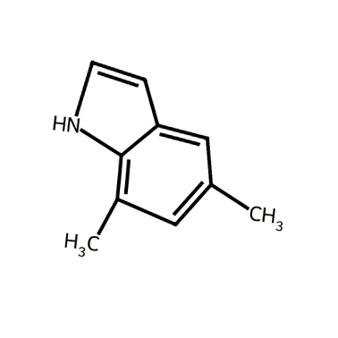 Cc1cc(C)c2[nH]ccc2c1